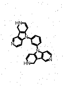 C1=Cc2c(c3cnccc3n2-c2cccc(-n3c4c(c5cnccc53)CNC=C4)c2)CN1